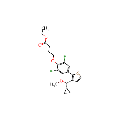 CCOC(=O)CCCOc1c(F)cc(-c2sccc2C(OC)C2CC2)cc1F